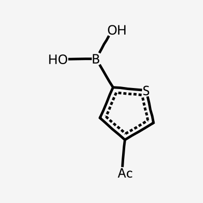 CC(=O)c1csc(B(O)O)c1